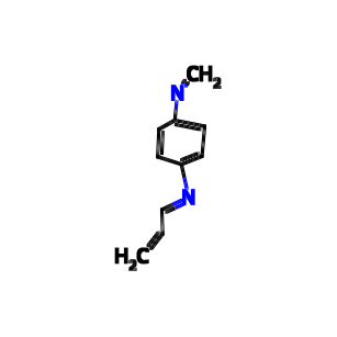 C=CC=Nc1ccc(N=C)cc1